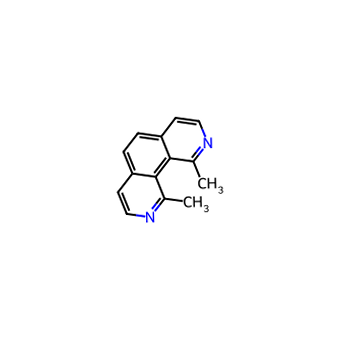 Cc1nccc2ccc3ccnc(C)c3c12